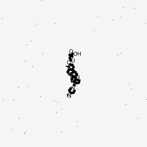 C[C@@H]1C2CC[C@]3(C)C(CC[C@@H]4[C@H]5CCC[C@]5(CCN5CCC(N(C)C)CC5)CC[C@]43C)[C@@]2(C)CC[C@@H]1OC(=O)CC(C)(C)C(=O)O